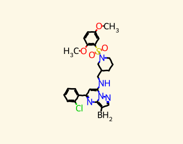 Bc1cnn2c(NCC3CCCN(S(=O)(=O)c4cc(OC)ccc4OC)C3)cc(-c3ccccc3Cl)nc12